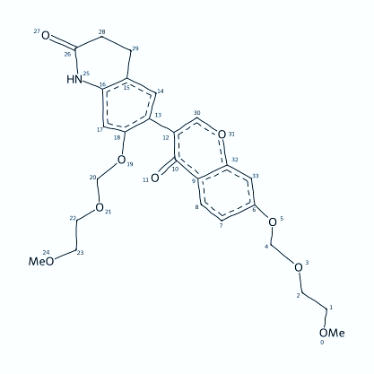 COCCOCOc1ccc2c(=O)c(-c3cc4c(cc3OCOCCOC)NC(=O)CC4)coc2c1